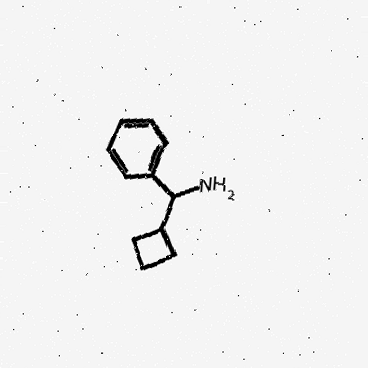 NC(c1ccccc1)C1CCC1